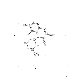 CCCC(=Cc1ccc(F)c(F)c1)C(=O)OC1CCCC(C)C1